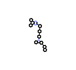 c1cc(-c2ccc(-c3ccc(-n4c5ccccc5c5cc(-c6ccc7ccccc7c6)ccc54)cc3)cc2)cc(-c2cnc3c4ccccc4c4ccccc4c3n2)c1